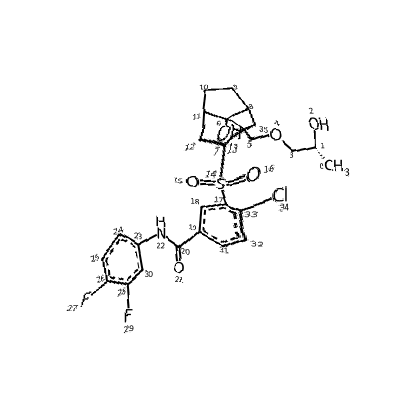 C[C@@H](O)COCC1(O)C2CCC1CC(S(=O)(=O)c1cc(C(=O)Nc3ccc(F)c(F)c3)ccc1Cl)C2